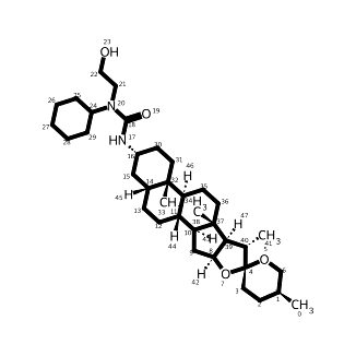 C[C@H]1CC[C@@]2(OC1)O[C@H]1C[C@H]3[C@@H]4CC[C@@H]5C[C@H](NC(=O)N(CCO)C6CCCCC6)CC[C@]5(C)[C@H]4CC[C@]3(C)[C@H]1[C@@H]2C